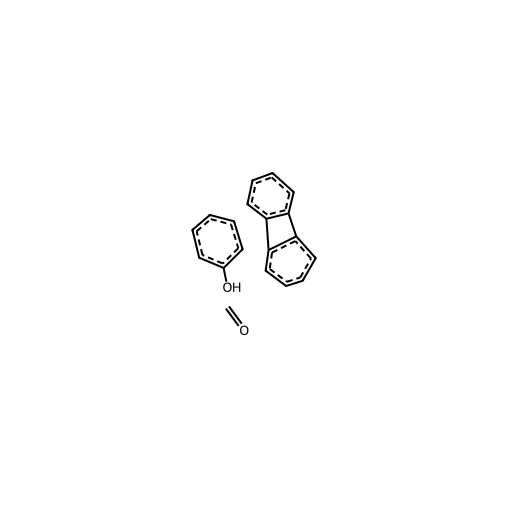 C=O.Oc1ccccc1.c1ccc2c(c1)-c1ccccc1-2